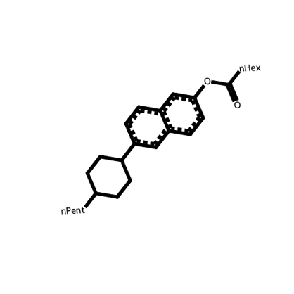 CCCCCCC(=O)Oc1ccc2cc(C3CCC(CCCCC)CC3)ccc2c1